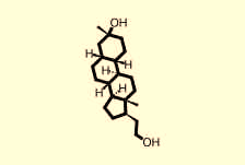 C[C@@]1(O)CC[C@H]2[C@H](CC[C@@H]3[C@@H]2CC[C@]2(C)[C@@H](CCO)CC[C@@H]32)C1